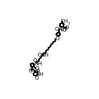 Cc1ccc(NC(=O)c2ccc(OCCCCCCCCCCCNC(=O)CCCC(=O)Nc3cccc4c3C(=O)N(C3CCC(=O)NC3=O)C4=O)cc2)c(C(=O)O)c1